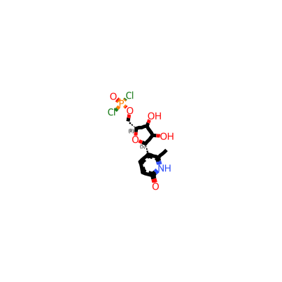 Cc1[nH]c(=O)ccc1[C@@H]1O[C@H](COP(=O)(Cl)Cl)C(O)C1O